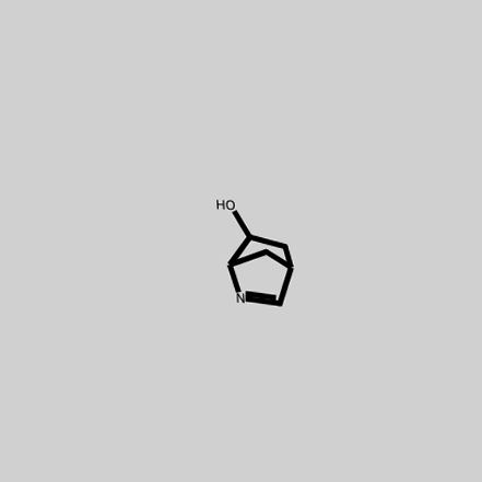 OC1CC2C=NC1C2